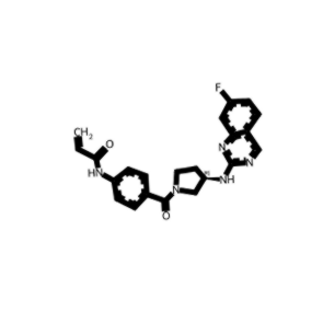 C=CC(=O)Nc1ccc(C(=O)N2CC[C@@H](Nc3ncc4ccc(F)cc4n3)C2)cc1